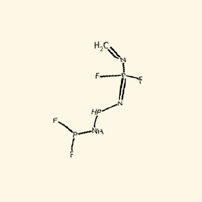 C=NP(F)(F)=NPNP(F)F